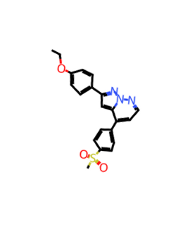 CCOc1ccc(-c2cc3c(-c4ccc(S(C)(=O)=O)cc4)ccnn3n2)cc1